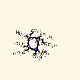 C[C@@]1(CC(=O)O)c2cc3[n-]c(cc4nc(cc5[n-]c(cc(n2)[C@H]1CCC(=O)O)c(CC(=O)O)c5CCC(=O)O)C(CCC(=O)O)=C4CC(=O)O)[C@@](C)(CC(=O)O)[C@@H]3CCC(=O)O.[Fe]